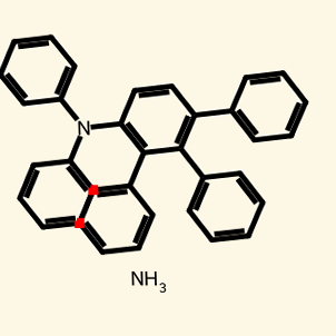 N.c1ccc(-c2ccc(N(c3ccccc3)c3ccccc3)c(-c3ccccc3)c2-c2ccccc2)cc1